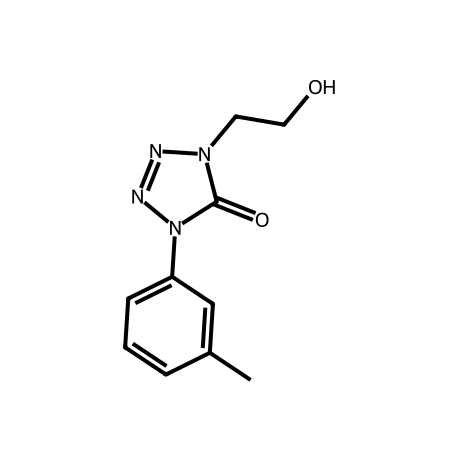 Cc1cccc(-n2nnn(CCO)c2=O)c1